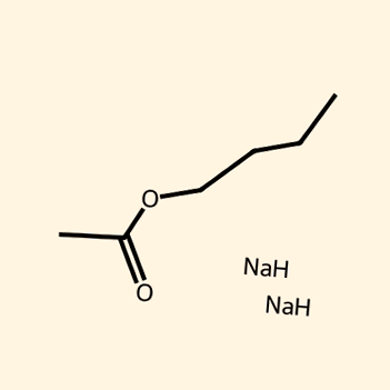 CCCCOC(C)=O.[NaH].[NaH]